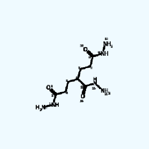 NNC(=O)CCC(CCC(=O)NN)C(=O)NN